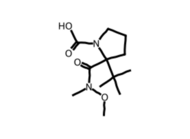 CON(C)C(=O)C1(C(C)(C)C)CCCN1C(=O)O